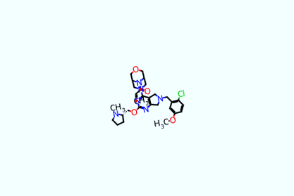 C=CC(=O)N1C2COCC1CN(c1nc(OC[C@@H]3CCCN3C)nc3c1CN(Cc1cc(OC)ccc1Cl)C3)C2